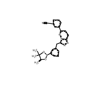 C=C1OB(c2cccc(Cc3nnc4ccc(-c5cccc(C#N)c5)nn34)c2)OC1(C)C